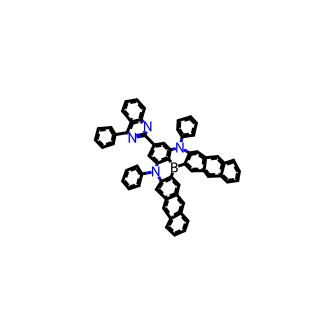 c1ccc(-c2nc(-c3cc4c5c(c3)N(c3ccccc3)c3cc6cc7ccccc7cc6cc3B5c3cc5cc6ccccc6cc5cc3N4c3ccccc3)nc3ccccc23)cc1